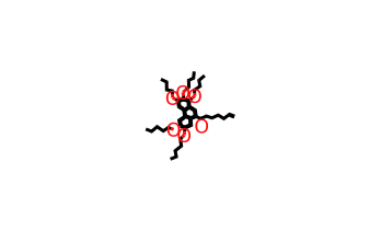 C=CCCCCC(=O)c1cc2c(OCCCC)c(OCCCC)c(OCCCC)cc2c2cc(OCCCCC)c(OCCCCC)cc12